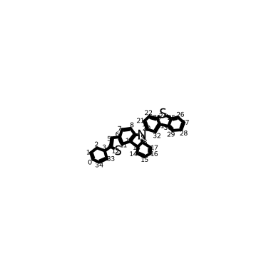 C1=CCC(c2cc3ccc4c(c3s2)C2C=CC=CC2N4c2ccc3sc4ccccc4c3c2)C=C1